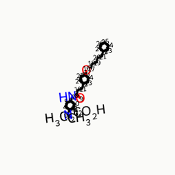 CN(C)c1ccc(NC(=O)CCc2ccc(OCCCCCc3ccccc3)cc2)cc1C(=O)O